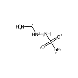 CCCS(=O)(=O)NNCN